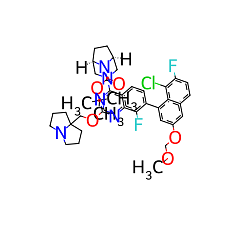 COCOc1cc(-c2ccc3c(N4C[C@H]5CC[C@@H](C4)N5C(=O)OC(C)(C)C)nc(OCC45CCCN4CCC5)nc3c2F)c2c(Cl)c(F)ccc2c1